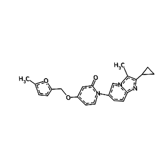 Cc1ccc(COc2ccn(-c3ccc4nc(C5CC5)c(C)n4c3)c(=O)c2)o1